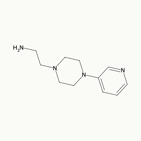 NCCN1CCN(c2cccnc2)CC1